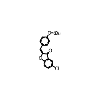 CC(C)(C)Oc1ccc(C=C2Oc3ccc(Cl)cc3C2=O)cc1